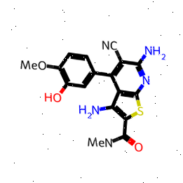 CNC(=O)c1sc2nc(N)c(C#N)c(-c3ccc(OC)c(O)c3)c2c1N